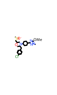 COc1nc(C2CCC(N3CC(C[S+](C)[O-])OCC3Cc3ccc(Cl)cc3)CC2)nn1C